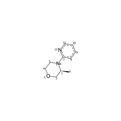 C[C@H]1COCCN1c1cc[c]cn1